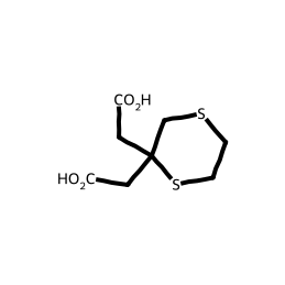 O=C(O)CC1(CC(=O)O)CSCCS1